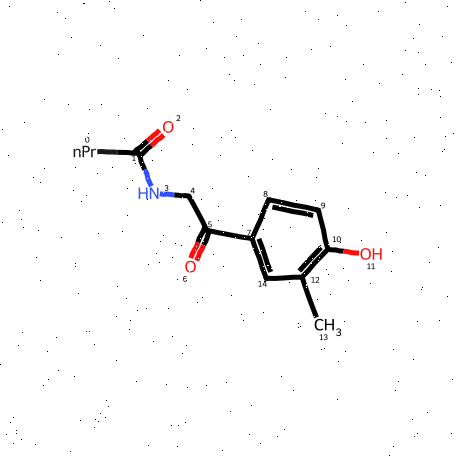 CCCC(=O)NCC(=O)c1ccc(O)c(C)c1